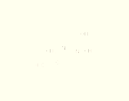 CC(C)Oc1cn(C)c(CO)n1